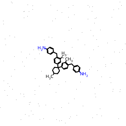 Cc1cc(C2(c3ccc(Cc4ccc(N)cc4)c(C)c3)CCC(C)CC2)ccc1Cc1ccc(N)cc1